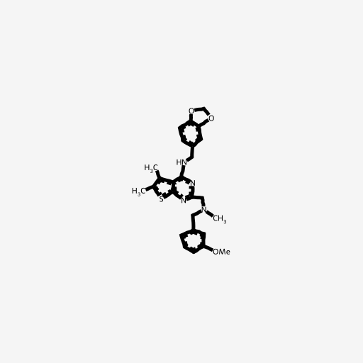 COc1cccc(CN(C)Cc2nc(NCc3ccc4c(c3)OCO4)c3c(C)c(C)sc3n2)c1